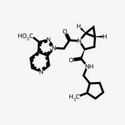 CC1CCCC1CNC(=O)[C@@H]1C[C@H]2C[C@H]2N1C(=O)Cn1nc(C(=O)O)c2ccncc21